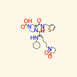 O=C(NCc1cccs1)[C@@H]1CN(C(=O)O)CCN1C(=O)[C@@H](CCCCN1CCCS1(=O)=O)NC1CCCCC1